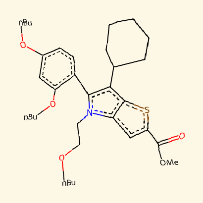 CCCCOCCn1c(-c2ccc(OCCCC)cc2OCCCC)c(C2CCCCC2)c2sc(C(=O)OC)cc21